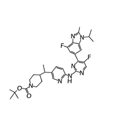 Cc1nc2c(F)cc(-c3nc(Nc4ccc(C(C)C5CCN(C(=O)OC(C)(C)C)CC5)cn4)ncc3F)cc2n1C(C)C